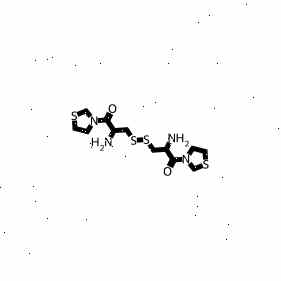 NC(CSSCC(N)C(=O)N1CCSC1)C(=O)N1CCSC1